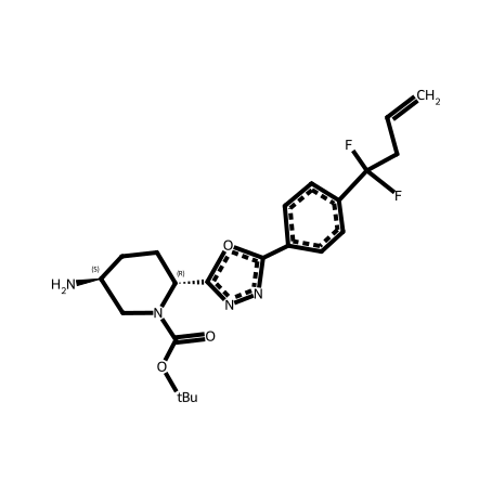 C=CCC(F)(F)c1ccc(-c2nnc([C@H]3CC[C@H](N)CN3C(=O)OC(C)(C)C)o2)cc1